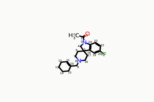 CC(=O)N1CC2(CCN(CC3=CCCCC3)CC2)c2cc(F)ccc21